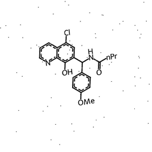 CCCC(=O)NC(c1ccc(OC)cc1)c1cc(Cl)c2cccnc2c1O